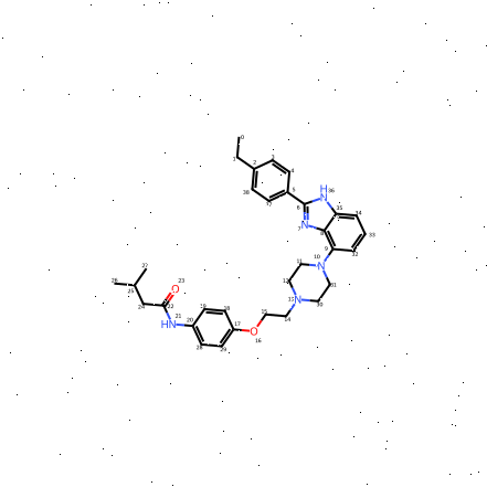 CCc1ccc(-c2nc3c(N4CCN(CCOc5ccc(NC(=O)CC(C)C)cc5)CC4)cccc3[nH]2)cc1